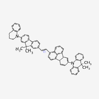 CC1(C)c2cc(/C=C/c3ccc4c5c(cccc35)C3C=C(N5c6ccccc6C(C)(C)c6ccccc65)C=CC43)ccc2-c2ccc(N3CCCc4ccccc43)cc21